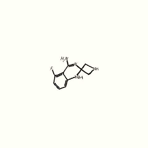 NC1=NC2(CNC2)Nc2cccc(F)c21